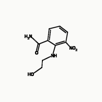 NC(=O)c1cccc([N+](=O)[O-])c1NCCO